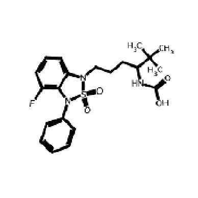 CC(C)(C)C(CCCN1c2cccc(F)c2N(c2ccccc2)S1(=O)=O)NC(=O)O